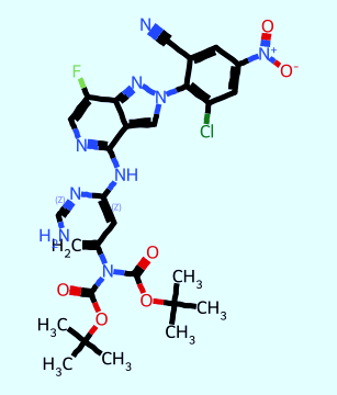 C=C(/C=C(\N=C/N)Nc1ncc(F)c2nn(-c3c(Cl)cc([N+](=O)[O-])cc3C#N)cc12)N(C(=O)OC(C)(C)C)C(=O)OC(C)(C)C